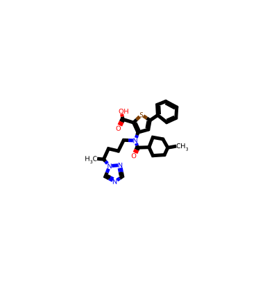 CC1CCC(C(=O)N(CCCC(C)n2cncn2)c2cc(-c3ccccc3)sc2C(=O)O)CC1